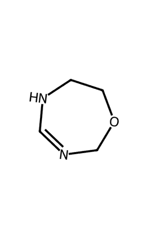 C1=NCOCCN1